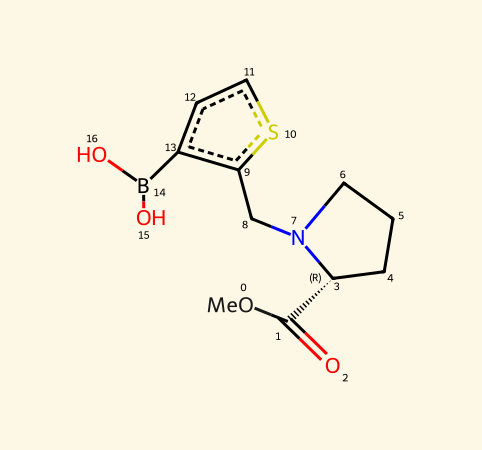 COC(=O)[C@H]1CCCN1Cc1sccc1B(O)O